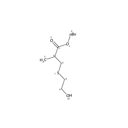 CCCCOC(=O)C(C)CSCCO